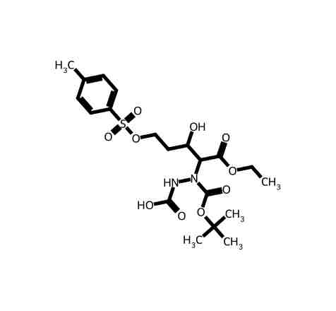 CCOC(=O)C(C(O)CCOS(=O)(=O)c1ccc(C)cc1)N(NC(=O)O)C(=O)OC(C)(C)C